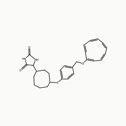 O=C1NC(=O)C(C2CCCCC(Sc3ccc(COc4ccccccccc4)cc3)CC2)N1